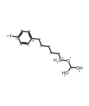 OC(O)O[SiH2]CCCCCc1ccc(F)cc1